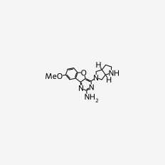 COc1ccc2oc3c(N4C[C@@H]5CCN[C@@H]5C4)nc(N)nc3c2c1